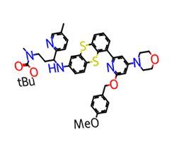 COc1ccc(COc2cc(N3CCOCC3)cc(-c3cccc4c3Sc3ccc(NC(CCN(C)C(=O)OC(C)(C)C)c5ccc(C)cn5)cc3S4)n2)cc1